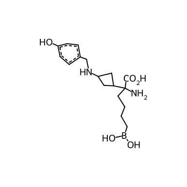 NC(CCCCB(O)O)(C(=O)O)C1CC(NCc2ccc(O)cc2)C1